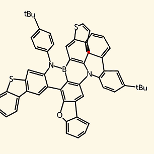 CC(C)(C)c1ccc(N2B3c4cc5sccc5cc4N(c4ccc(C(C)(C)C)cc4-c4ccccc4)c4cc5c(oc6ccccc65)c(c43)-c3cc4c(cc32)sc2ccccc24)cc1